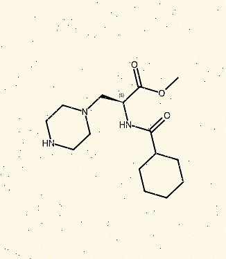 COC(=O)[C@H](CN1CCNCC1)NC(=O)C1CCCCC1